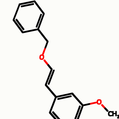 COc1cccc(C=COCc2ccccc2)c1